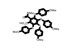 CNC(=O)c1c(Sc2ccc(OC)cc2)c(Sc2ccc(OC)cc2)c(Sc2ccc(OC)cc2)c(Sc2ccc(OC)cc2)c1C(=O)O